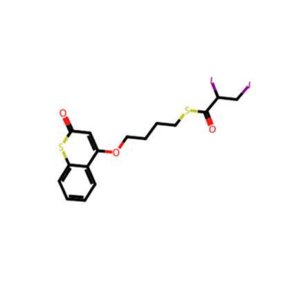 O=C(SCCCCOc1cc(=O)sc2ccccc12)C(I)CI